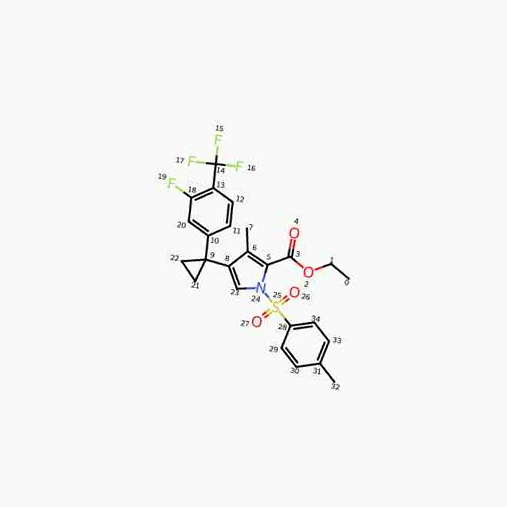 CCOC(=O)c1c(C)c(C2(c3ccc(C(F)(F)F)c(F)c3)CC2)cn1S(=O)(=O)c1ccc(C)cc1